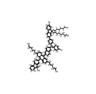 CCCCCCCCC1(CCCCCCCC)c2cc(C)ccc2-c2ccc(-c3ccc(N(c4ccc(C)cc4)c4ccc5cc(-c6c7ccc(CCCCCC)cc7c(-c7ccc8c(c7)C(C)(C)c7ccccc7-8)c7ccc(CCCCCC)cc67)ccc5c4)cc3)cc21